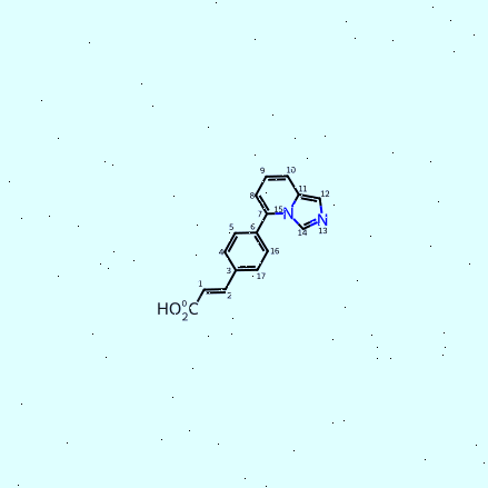 O=C(O)C=Cc1ccc(-c2cccc3cncn23)cc1